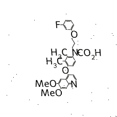 COc1cc2nccc(Oc3ccc(N(CCCOc4cccc(F)c4)C(=O)O)c(C)c3C)c2cc1OC